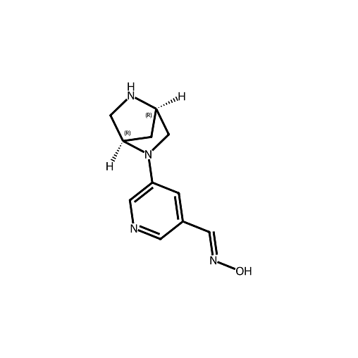 ON=Cc1cncc(N2C[C@H]3C[C@@H]2CN3)c1